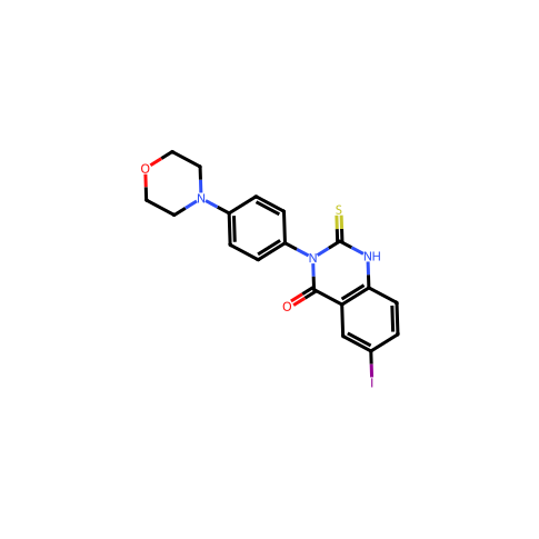 O=c1c2cc(I)ccc2[nH]c(=S)n1-c1ccc(N2CCOCC2)cc1